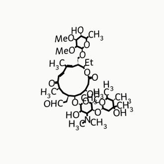 CC[C@H]1OC(=O)C[C@@H](O)[C@H](C)[C@@H](O[C@@H]2O[C@H](C)[C@@H](O[C@H]3CC(C)(O)[C@@H](C)C(C)O3)C(N(C)C)C2O)[C@@H](CC=O)C[C@@H](C)C(=O)/C=C/C(C)=C/[C@@H]1CO[C@@H]1OC(C)[C@@H](O)[C@H](OC)C1OC